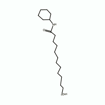 CCCCCCCCCCCCCCCCCCCCCC(=O)NC1CCCCC1